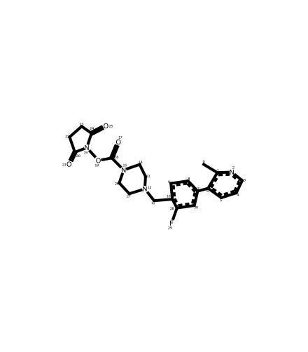 Cc1ncccc1-c1ccc(CN2CCN(C(=O)ON3C(=O)CCC3=O)CC2)c(F)c1